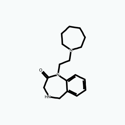 O=C1CNCc2ccccc2N1CCN1CCCCCC1